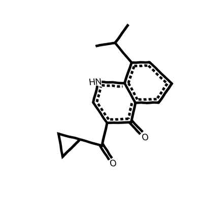 CC(C)c1cccc2c(=O)c(C(=O)C3CC3)c[nH]c12